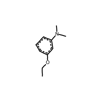 CCOc1cccc(N(C)C)c1